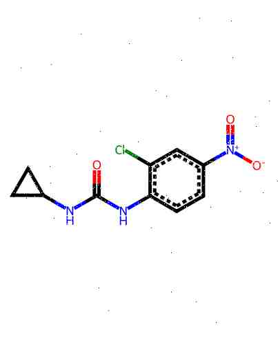 O=C(Nc1ccc([N+](=O)[O-])cc1Cl)NC1CC1